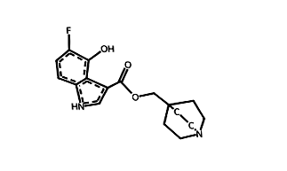 O=C(OCC12CCN(CC1)CC2)c1c[nH]c2ccc(F)c(O)c12